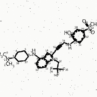 CN(C)[C@H]1CC[C@H](Nc2cccc3c2cc(C#CCNc2ccc(S(C)(=O)=O)cc2O)n3CC(F)(F)F)CC1